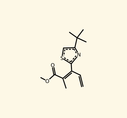 C=C/C(=C(\C)C(=O)OC)c1nc(C(C)(C)C)cs1